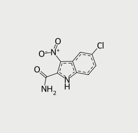 NC(=O)c1[nH]c2ccc(Cl)cc2c1[N+](=O)[O-]